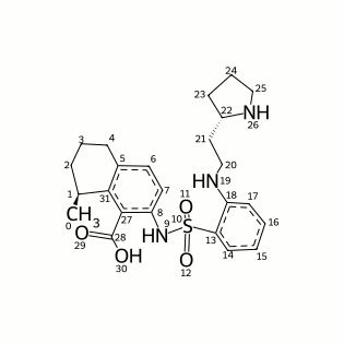 C[C@H]1CCCc2ccc(NS(=O)(=O)c3ccccc3NCC[C@@H]3CCCN3)c(C(=O)O)c21